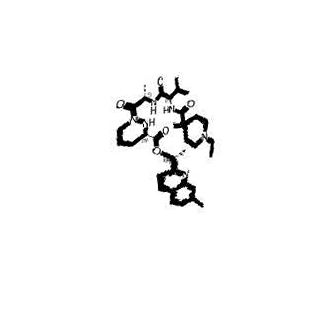 CCN1CCC(C)(C(=O)N[C@H](C(=O)N[C@@H](C)C(=O)N2CCC[C@@H](C(=O)O[C@H](C)c3ccc4ccc(C)cc4n3)N2)C(C)C)CC1